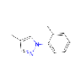 Cc1cnn(-c2ccccc2C)c1